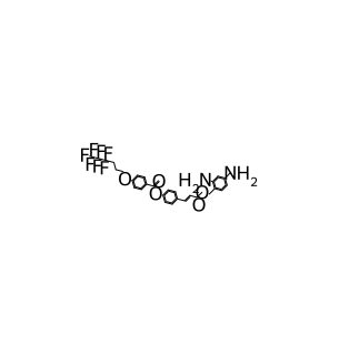 Nc1ccc(COC(=O)C=Cc2ccc(OC(=O)c3ccc(OCCCC(F)(F)C(F)(F)C(F)(F)F)cc3)cc2)c(N)c1